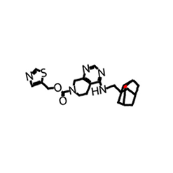 O=C(OCc1cncs1)N1CCc2c(ncnc2NCC23CC4CC(CC(C4)C2)C3)C1